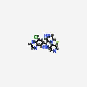 Fc1cncc(NCc2cc(Cl)c3nccnc3c2)c1N1CCNCC1